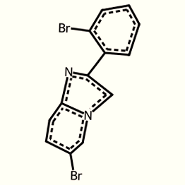 Brc1ccc2nc(-c3ccccc3Br)cn2c1